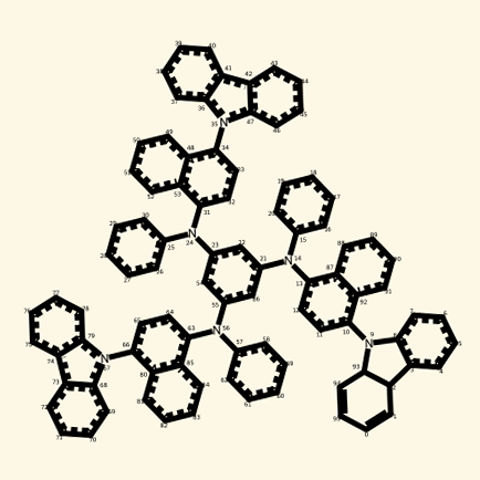 C1=CC2c3ccccc3N(c3ccc(N(c4ccccc4)c4cc(N(c5ccccc5)c5ccc(-n6c7ccccc7c7ccccc76)c6ccccc56)cc(N(c5ccccc5)c5ccc(-n6c7ccccc7c7ccccc76)c6ccccc56)c4)c4ccccc34)C2C=C1